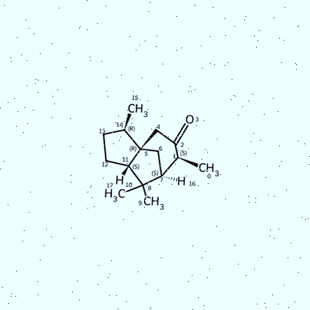 C[C@@H]1C(=O)C[C@@]23C[C@@H]1C(C)(C)[C@@H]2CC[C@H]3C